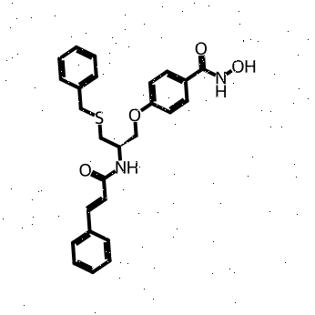 O=C(/C=C/c1ccccc1)N[C@H](COc1ccc(C(=O)NO)cc1)CSCc1ccccc1